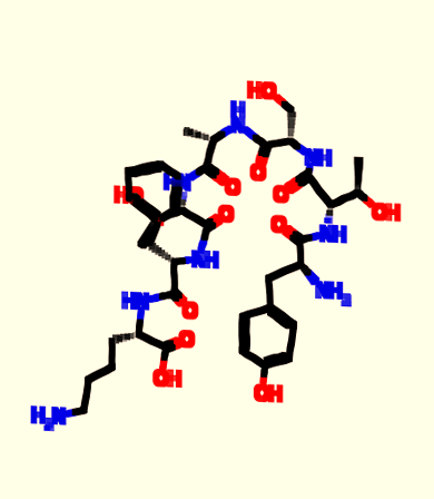 C[C@H](NC(=O)[C@H](CO)NC(=O)[C@@H](NC(=O)[C@@H](N)Cc1ccc(O)cc1)[C@@H](C)O)C(=O)N[C@H](C(=O)N[C@@H](Cc1ccccc1)C(=O)N[C@@H](CCCCN)C(=O)O)[C@@H](C)O